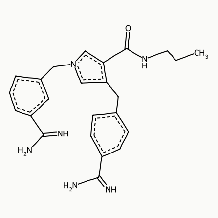 CCCNC(=O)c1cn(Cc2cccc(C(=N)N)c2)cc1Cc1ccc(C(=N)N)cc1